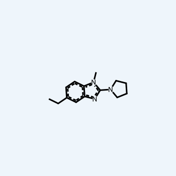 CCc1ccc2c(c1)nc(N1CCCC1)n2C